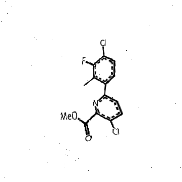 COC(=O)c1nc(-c2ccc(Cl)c(F)c2C)ccc1Cl